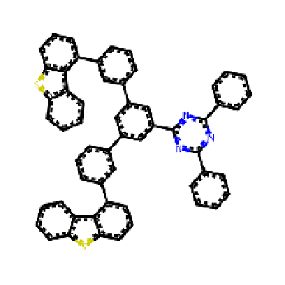 c1ccc(-c2nc(-c3ccccc3)nc(-c3cc(-c4cccc(-c5cccc6sc7ccccc7c56)c4)cc(-c4cccc(-c5cccc6sc7ccccc7c56)c4)c3)n2)cc1